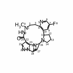 CN1CCc2ncc(F)cc2C2CCCN2C2C=Cn3ncc(c3N2)C(=O)N1